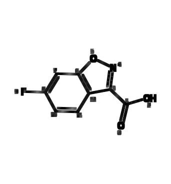 O=C(O)c1noc2cc(F)ccc12